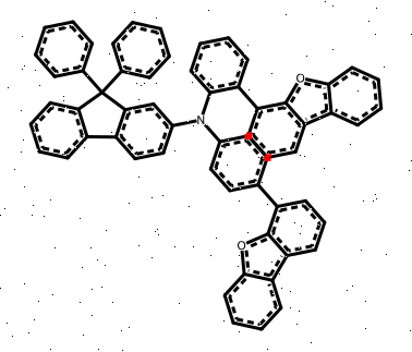 c1ccc(C2(c3ccccc3)c3ccccc3-c3ccc(N(c4ccc(-c5cccc6c5oc5ccccc56)cc4)c4ccccc4-c4cccc5c4oc4ccccc45)cc32)cc1